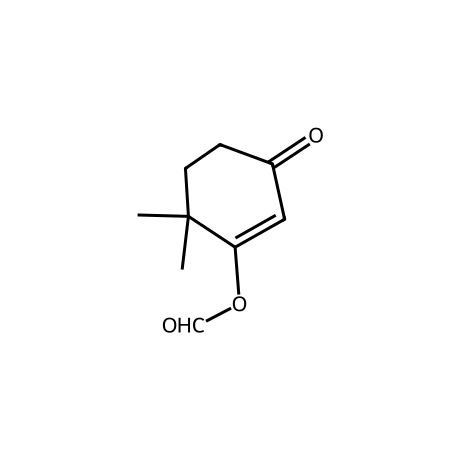 CC1(C)CCC(=O)C=C1OC=O